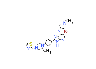 CC1CN(Cc2nccs2)CCN1c1ccc(-c2nc3c(NC4CCN(C)CC4)c(Br)cnc3[nH]2)cc1